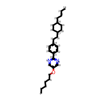 CCCCCCOc1cnc(-c2ccc(CCC3CCC(CCCC)CC3)cc2)nc1